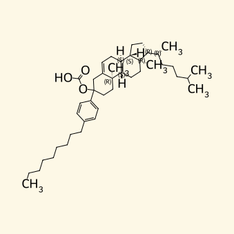 CCCCCCCCCc1ccc(C2(OC(=O)O)CC[C@@]3(C)C(=CC[C@H]4[C@@H]5CC[C@H]([C@H](C)CCCC(C)C)[C@@]5(C)CC[C@@H]43)C2)cc1